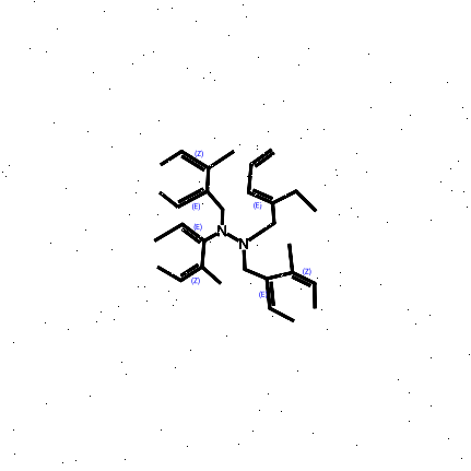 C=C/C=C(\CC)CN(CC(=C/C)/C(C)=C\C)N(CC(=C/C)/C(C)=C\C)C(=C/C)/C(C)=C\C